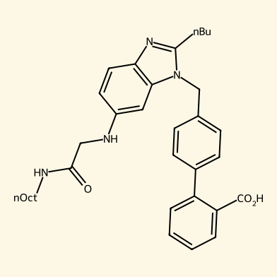 CCCCCCCCNC(=O)CNc1ccc2nc(CCCC)n(Cc3ccc(-c4ccccc4C(=O)O)cc3)c2c1